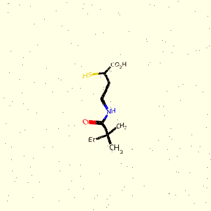 CCC(C)(C)C(=O)NCCC(S)C(=O)O